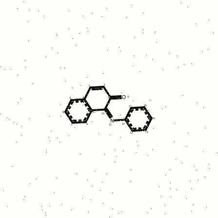 O=C1C=Cc2ccccc2C1=Nc1ccccc1